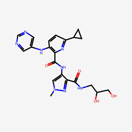 Cn1cc(NC(=O)c2nc(C3CC3)ccc2Nc2cncnc2)c(C(=O)NCC(O)CO)n1